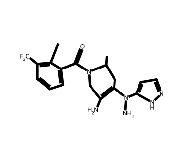 Cc1c(C(=O)N2CC(N)=C(N(N)c3ccn[nH]3)CC2C)cccc1C(F)(F)F